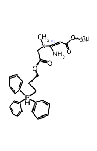 CN(CC(=O)OCCC[PH](c1ccccc1)(c1ccccc1)c1ccccc1)/C(N)=C/C(=O)OC(C)(C)C